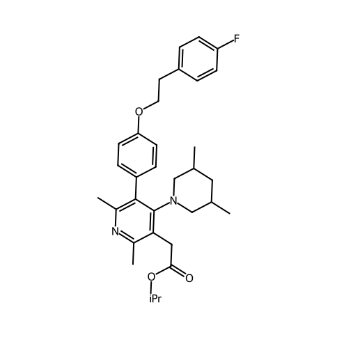 Cc1nc(C)c(-c2ccc(OCCc3ccc(F)cc3)cc2)c(N2CC(C)CC(C)C2)c1CC(=O)OC(C)C